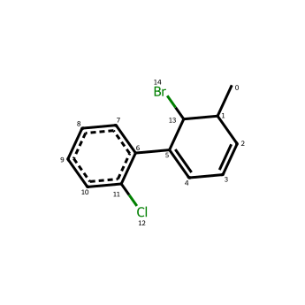 CC1C=CC=C(c2ccccc2Cl)C1Br